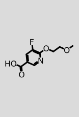 COCCOc1ncc(C(=O)O)cc1F